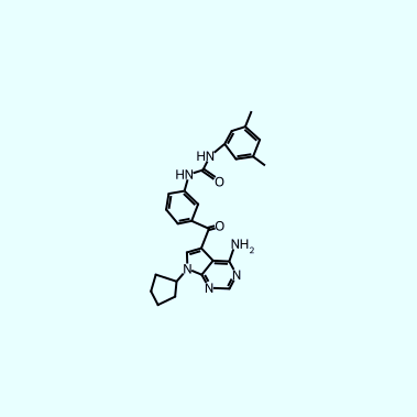 Cc1cc(C)cc(NC(=O)Nc2cccc(C(=O)c3cn(C4CCCC4)c4ncnc(N)c34)c2)c1